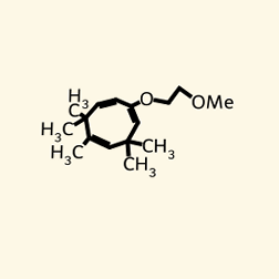 COCCOC1=C/C(C)(C)/C=C(/C)C(C)(C)/C=C\1